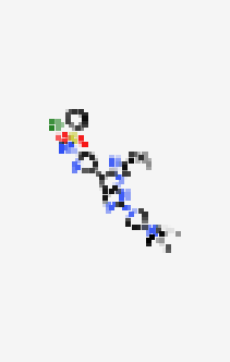 Cc1cn2c(n1)c(-c1ccc(NS(=O)(=O)c3ccccc3Cl)nc1)cc1cnc(N3CCC(N(C)C)CC3)nc12